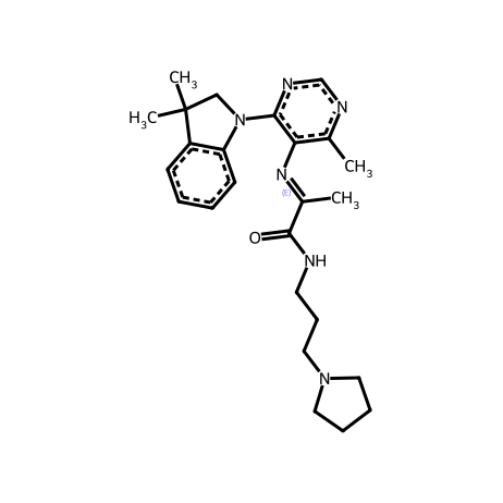 C/C(=N\c1c(C)ncnc1N1CC(C)(C)c2ccccc21)C(=O)NCCCN1CCCC1